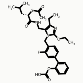 CCOc1nc(CC)c(CNC(=O)[C@H](CC(C)C)SC(C)=O)n1Cc1ccc(-c2ccccc2OC(=O)O)cc1F